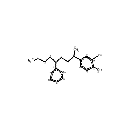 CCCCC(CCC(C)c1ccc(O)c(F)c1)c1ccccn1